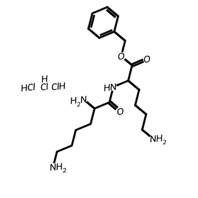 Cl.Cl.Cl.NCCCCC(N)C(=O)NC(CCCCN)C(=O)OCc1ccccc1